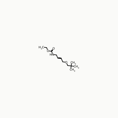 CCOC(=O)NCC=CCOCC(C)(C)C